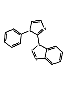 c1ccc(-n2ccnc2-n2nnc3ccccc32)cc1